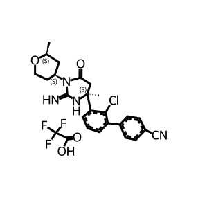 C[C@H]1C[C@@H](N2C(=N)N[C@](C)(c3cccc(-c4ccc(C#N)cc4)c3Cl)CC2=O)CCO1.O=C(O)C(F)(F)F